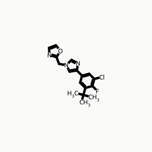 CC(C)(C)c1cc(-c2cn(Cc3ncco3)cn2)cc(Cl)c1F